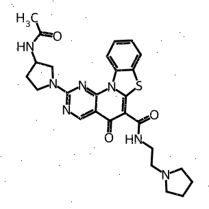 CC(=O)NC1CCN(c2ncc3c(=O)c(C(=O)NCCN4CCCC4)c4sc5ccccc5n4c3n2)C1